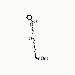 CCCCCCCC/C=C\CCCCCCCC(=O)OC/C=C/COC(=O)c1ccccc1